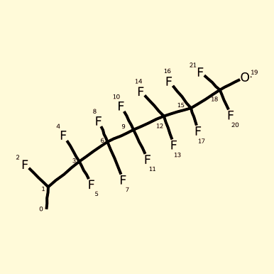 CC(F)C(F)(F)C(F)(F)C(F)(F)C(F)(F)C(F)(F)C([O])(F)F